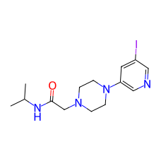 CC(C)NC(=O)CN1CCN(c2cncc(I)c2)CC1